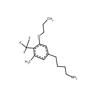 CCCOc1cc(CCCCN)cc(C)c1C(F)(F)F